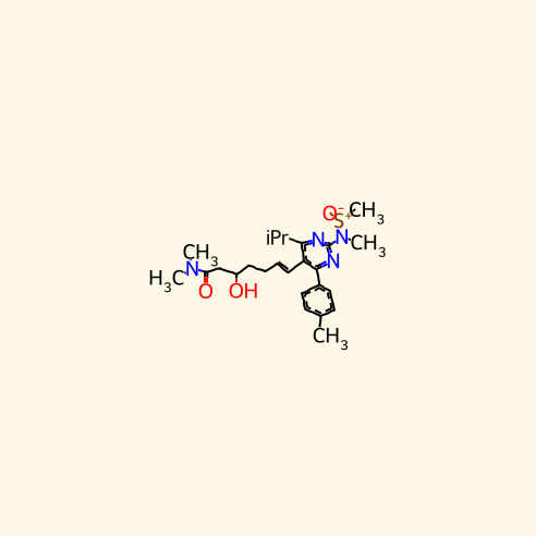 Cc1ccc(-c2nc(N(C)[S+](C)[O-])nc(C(C)C)c2/C=C/CCC(O)CC(=O)N(C)C)cc1